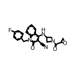 N#Cc1c(NC2CN(C(=O)C3CO3)C2)c2ccccc2n(Cc2ccc(F)cc2)c1=O